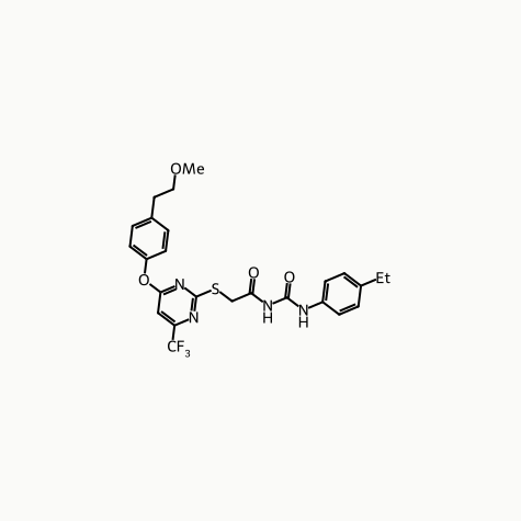 CCc1ccc(NC(=O)NC(=O)CSc2nc(Oc3ccc(CCOC)cc3)cc(C(F)(F)F)n2)cc1